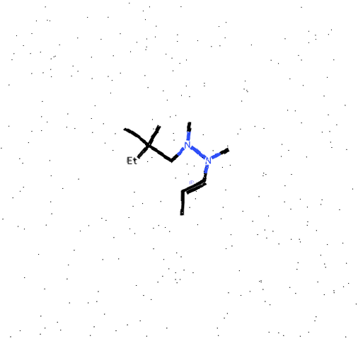 C/C=C/N(C)N(C)CC(C)(C)CC